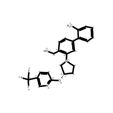 Cc1ccccc1-c1ccc(CO)c(N2CC[C@H](Oc3ccc(C(F)(F)F)cn3)C2)c1